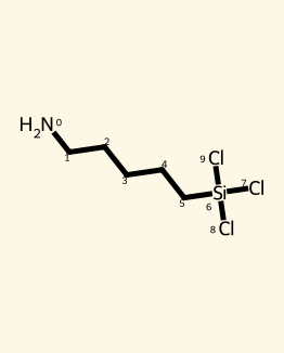 NCCCCC[Si](Cl)(Cl)Cl